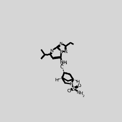 CCc1nc2nc(C(C)C)cc(NC[C@@H]3C[C@@H]4C[C@H]3CN4S(N)(=O)=O)n2n1